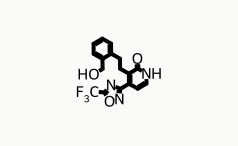 O=c1[nH]ccc(-c2noc(C(F)(F)F)n2)c1CCc1ccccc1CO